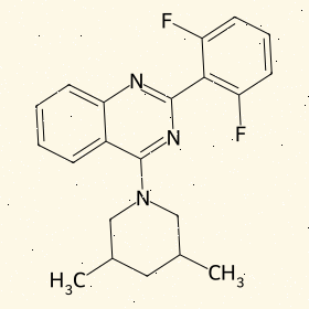 CC1CC(C)CN(c2nc(-c3c(F)cccc3F)nc3ccccc23)C1